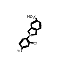 O=C(O)c1ccc2c(c1)CN(c1ccc(O)cc1Cl)C2